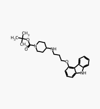 CC(C)(C)OC(=O)N1CCC(NCCCOc2cccc3[nH]c4ccccc4c23)CC1